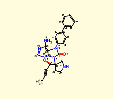 CC#CC(=O)[C@@]1(n2c(=O)n(-c3ccc(-c4ccccc4)cc3)c3c(N)ncnc32)CCNC1